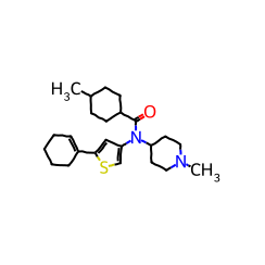 CC1CCC(C(=O)N(c2csc(C3=CCCCC3)c2)C2CCN(C)CC2)CC1